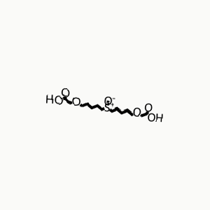 O=C(O)COCCCCC[S+]([O-])CCCCCOCC(=O)O